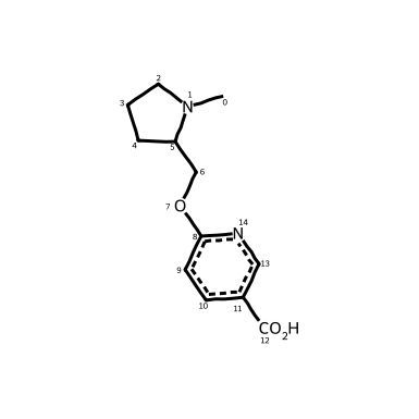 CN1CCCC1COc1ccc(C(=O)O)cn1